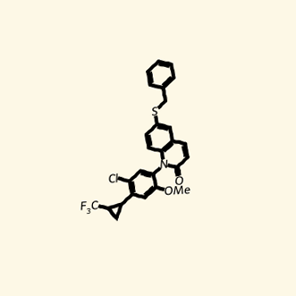 COc1cc(C2CC2C(F)(F)F)c(Cl)cc1-n1c(=O)ccc2cc(SCc3ccccc3)ccc21